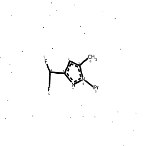 Cc1cc(C(F)F)nn1C(C)C